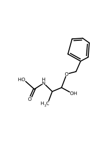 CC(NC(=O)O)C(O)OCc1ccccc1